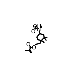 C=C(C)C(=O)OCCC1(C)CCC(N(CC)C(=O)O)CC1(C)C